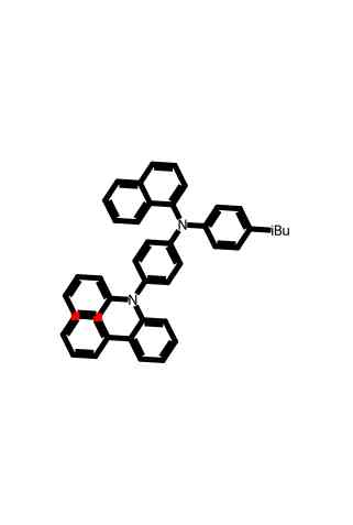 CCC(C)c1ccc(N(c2ccc(N(c3ccccc3)c3ccccc3-c3ccccc3)cc2)c2cccc3ccccc23)cc1